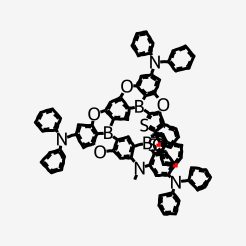 CN1c2cc3c(cc2B2c4sc5ccccc5c4Oc4cc(N(c5ccccc5)c5ccccc5)cc1c42)B1c2cc4c(cc2Oc2cc(N(c5ccccc5)c5ccccc5)cc(c21)O3)Oc1cc(N(c2ccccc2)c2ccccc2)cc2c1B4c1sc3ccccc3c1O2